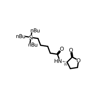 CCCC[Si](CCCC)(CCCC)CCCCC(=O)N[C@H]1CCOC1=O